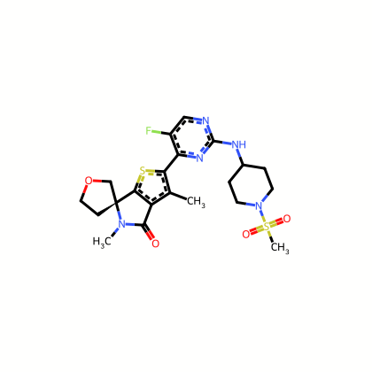 Cc1c(-c2nc(NC3CCN(S(C)(=O)=O)CC3)ncc2F)sc2c1C(=O)N(C)[C@@]21CCOC1